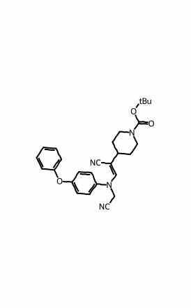 CC(C)(C)OC(=O)N1CCC(C(C#N)=CN(CC#N)c2ccc(Oc3ccccc3)cc2)CC1